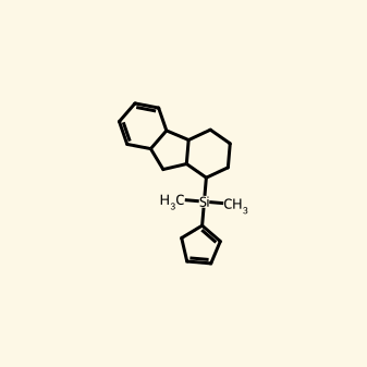 C[Si](C)(C1=CC=CC1)C1CCCC2C3C=CC=CC3CC21